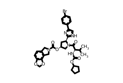 CC(C)[C@H](NC(=O)OC1CCCC1)C(=O)N1C[C@H](OC(=O)N2Cc3ccc4c(c3C2)OCO4)C[C@H]1c1nc(-c2ccc(Br)cc2)c[nH]1